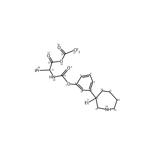 CCC1(c2cccc(OC(=O)NC(C(=O)OC(=O)C(F)(F)F)C(C)C)c2)CCCCNC1